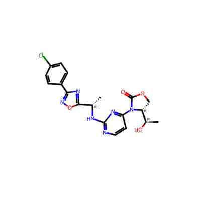 C[C@H](Nc1nccc(N2C(=O)OC[C@@H]2[C@@H](C)O)n1)c1nc(-c2ccc(Cl)cc2)no1